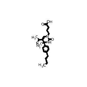 CCCCc1ccc(C2(C)NC(=O)N(CCCC(=O)O)C=C2C(C)C)cc1